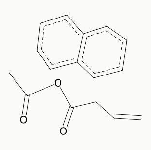 C=CCC(=O)OC(C)=O.c1ccc2ccccc2c1